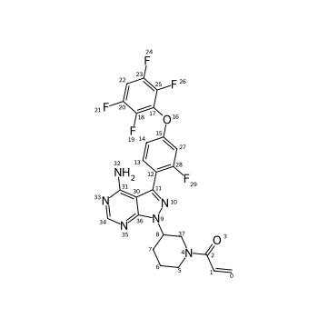 C=CC(=O)N1CCCC(n2nc(-c3ccc(Oc4c(F)c(F)cc(F)c4F)cc3F)c3c(N)ncnc32)C1